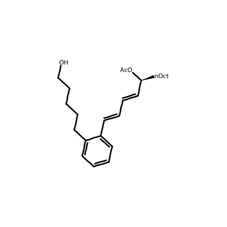 CCCCCCCC[C@@H](/C=C/C=C/c1ccccc1CCCCCO)OC(C)=O